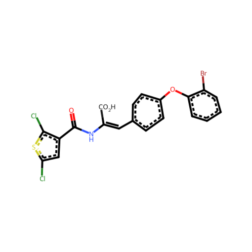 O=C(O)/C(=C\c1ccc(Oc2ccccc2Br)cc1)NC(=O)c1cc(Cl)sc1Cl